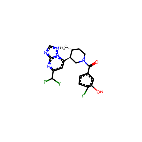 C[C@@H]1CCN(C(=O)c2ccc(F)c(O)c2)C[C@H]1c1cc(C(F)F)nc2ncnn12